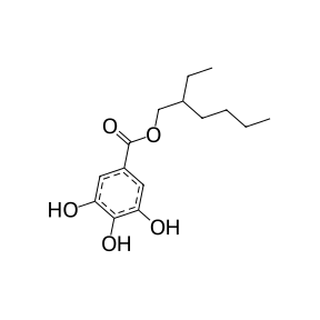 CCCCC(CC)COC(=O)c1cc(O)c(O)c(O)c1